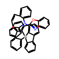 C1=Cc2ccccc2N(c2cccc3c2[Si]2(c4ccccc4-c4cccc(-c5nc6ccccc6o5)c42)c2ccccc2-3)c2ccccc21